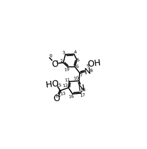 COc1cccc(/C(=N\O)c2cc(C(=O)O)ccn2)c1